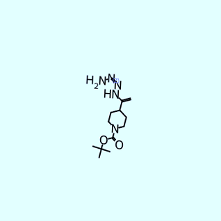 C=C(N/N=N\N)C1CCN(C(=O)OC(C)(C)C)CC1